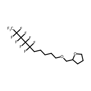 FC(F)(F)C(F)(F)C(F)(F)C(F)(F)C(F)(F)CCCCCOCC1CCCO1